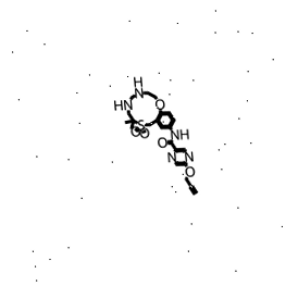 C#CCOc1cnc(C(=O)Nc2ccc3c(c2)CS(=O)(=O)C(C)(C)CNCNCCO3)cn1